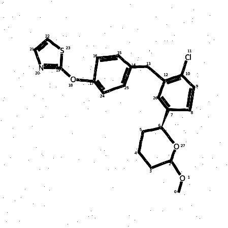 COC1CCC[C@@H](c2ccc(Cl)c(Cc3ccc(Oc4nccs4)cc3)c2)O1